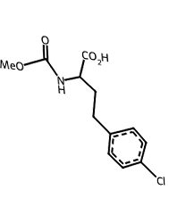 COC(=O)NC(CCc1ccc(Cl)cc1)C(=O)O